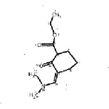 CCOC(=O)C1CCCC(=CN(C)C)C1=O